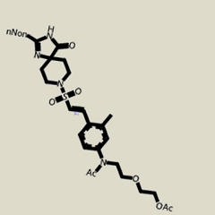 CCCCCCCCCC1=NC2(CCN(S(=O)(=O)/C=C/c3ccc(N(CCOCCOC(C)=O)C(C)=O)cc3C)CC2)C(=O)N1